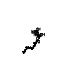 C/C(=C\CC(=O)OCC(CO)(CO)COCC(CO)(CO)CO)CCCC(C)CCCC(C)CCCC(C)C